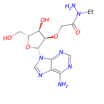 CCN(N)C(=O)CO[C@@H]1[C@H](O)[C@@H](CO)O[C@H]1n1cnc2c(N)ncnc21